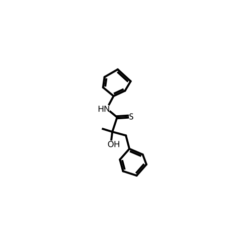 CC(O)(Cc1ccccc1)C(=S)Nc1ccccc1